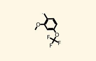 [CH2]c1ccc(OC(F)(F)F)cc1OC